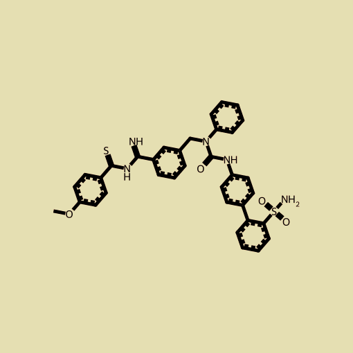 COc1ccc(C(=S)NC(=N)c2cccc(CN(C(=O)Nc3ccc(-c4ccccc4S(N)(=O)=O)cc3)c3ccccc3)c2)cc1